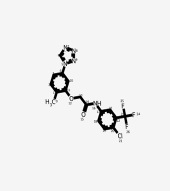 Cc1ccc(-n2cnnn2)cc1OCC(=O)Nc1ccc(Cl)c(C(F)(F)F)c1